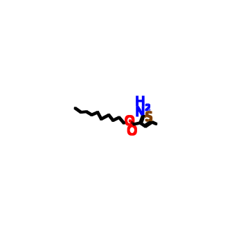 CCCCCCCCCCOC(=O)c1cc(C)sc1N